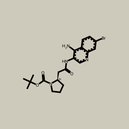 CC(C)(C)OC(=O)N1CCC[C@@H]1CC(=O)Nc1cnc2cc(Br)ccc2c1N